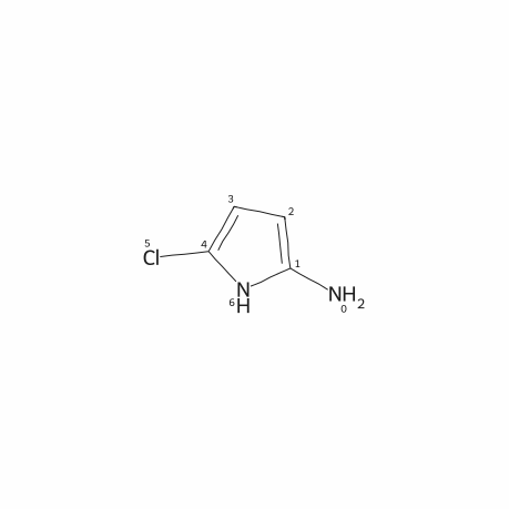 Nc1ccc(Cl)[nH]1